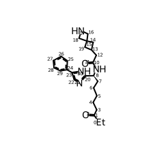 CCC(=O)CCCCC[C@H](NC(=O)CC1CC2(CNC2)C1)c1ncc(-c2ccccc2)[nH]1